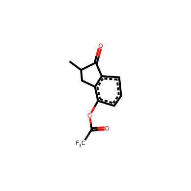 CC1Cc2c(OC(=O)C(F)(F)F)cccc2C1=O